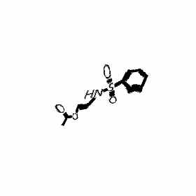 CC(=O)OC=CNS(=O)(=O)c1ccccc1